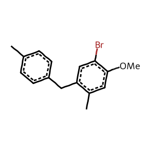 COc1cc(C)c(Cc2ccc(C)cc2)cc1Br